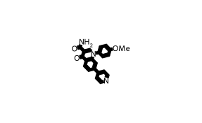 COc1ccc(-n2cc(C(N)=O)c(=O)c3ccc(-c4ccncc4)cc32)cc1